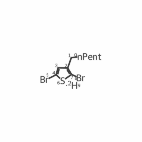 CCCCCCc1cc(Br)sc1Br.[2H]